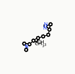 CC1(C)c2cc(-c3ccc(-c4cccc(-c5ccc6c7ccccc7c7nccnc7c6c5)c4)cc3)ccc2-c2ccc(-c3ccc4c(c3)c3ccccc3n4-c3ccccc3)cc21